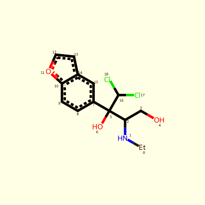 CCNC(CO)C(O)(c1ccc2occc2c1)C(Cl)Cl